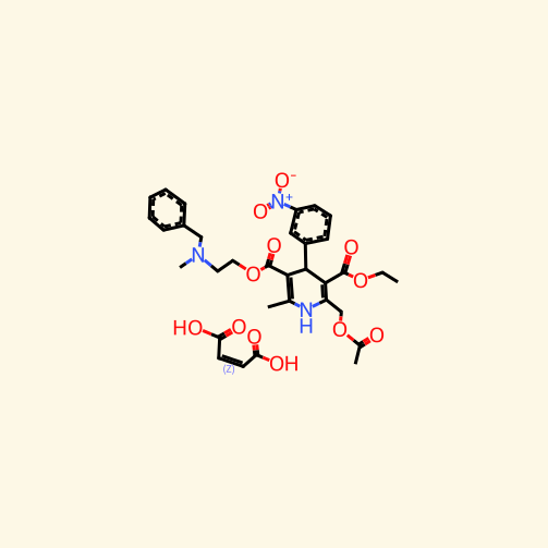 CCOC(=O)C1=C(COC(C)=O)NC(C)=C(C(=O)OCCN(C)Cc2ccccc2)C1c1cccc([N+](=O)[O-])c1.O=C(O)/C=C\C(=O)O